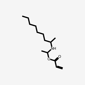 C=CC(=O)OC(C)NC(C)CCCCCCC